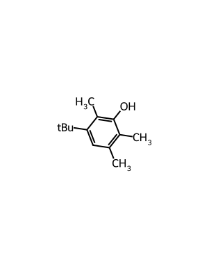 Cc1cc(C(C)(C)C)c(C)c(O)c1C